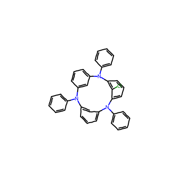 Clc1c2cccc1N(c1ccccc1)c1cccc(c1)N(c1ccccc1)c1cccc(c1)N2c1ccccc1